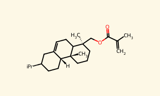 C=C(C)C(=O)OC[C@@]1(C)CCC[C@@]2(C)C1CC=C1CC(C(C)C)CC[C@H]12